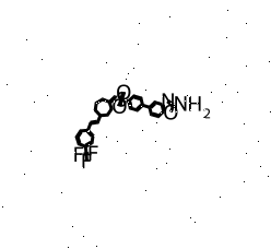 Nc1nc2cc(-c3ccc(S(=O)(=O)/C=C4/CCCC(/C=C/C5=CC=C(C(F)(F)F)C=C=C5)CC4)cc3)ccc2o1